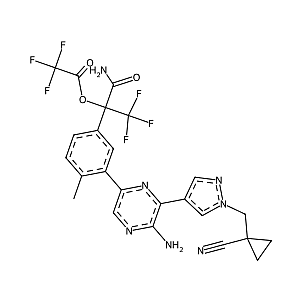 Cc1ccc(C(OC(=O)C(F)(F)F)(C(N)=O)C(F)(F)F)cc1-c1cnc(N)c(-c2cnn(CC3(C#N)CC3)c2)n1